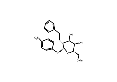 COC[C@H]1O[C@@H](Oc2ccc([N+](=O)[O-])cc2)[C@H](OCc2ccccc2)[C@@H](O)[C@H]1O